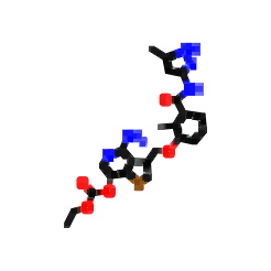 CCOC(=O)Oc1cnc(N)c2c(COc3cccc(C(=O)Nc4cc(C)[nH]n4)c3C)csc12